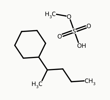 CCCC(C)C1CCCCC1.COS(=O)(=O)O